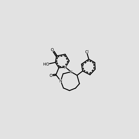 O=C1c2c(O)c(=O)ccn2N2CN1CCCCC2c1cccc(Cl)c1